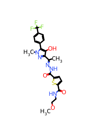 COCCNC(=O)c1ccc(C(=O)N/N=C(\C)c2nn(C)c(-c3ccc(C(F)(F)F)cc3)c2O)s1